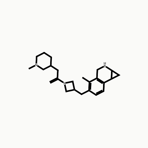 C=C(CC1CCCN(C)C1)N1CC(Cc2ccc3c(c2C)CBC2CC32)C1